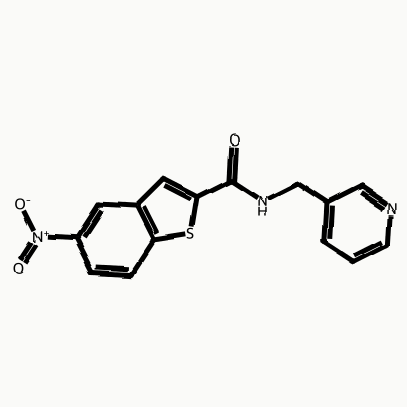 O=C(NCc1cccnc1)c1cc2cc([N+](=O)[O-])ccc2s1